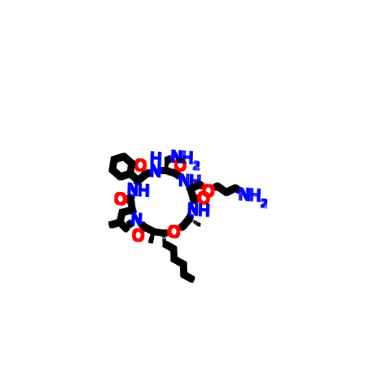 CCCCCC[C@H]1OC[C@@H](C)NC(=O)C(COCCCN)NC(=O)[C@H](CN)NC(=O)C(C2CCCCC2)NC(=O)C(CC(C)C)N(C)C(=O)[C@@H]1C